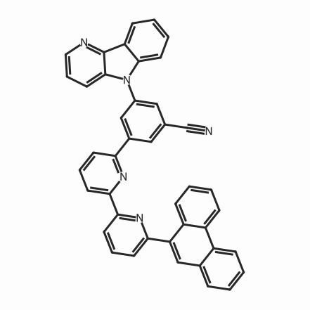 N#Cc1cc(-c2cccc(-c3cccc(-c4cc5ccccc5c5ccccc45)n3)n2)cc(-n2c3ccccc3c3ncccc32)c1